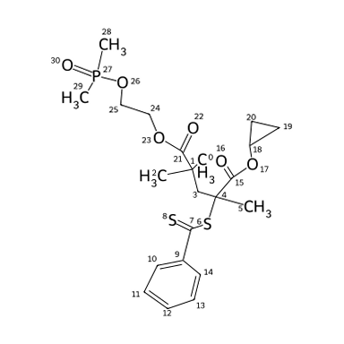 CC(C)(CC(C)(SC(=S)c1ccccc1)C(=O)OC1CC1)C(=O)OCCOP(C)(C)=O